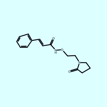 O=C(C=Cc1ccccc1)NOCCN1CCCC1=O